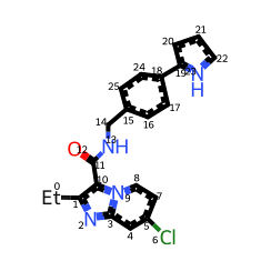 CCc1nc2cc(Cl)ccn2c1C(=O)NCc1ccc(-c2ccc[nH]2)cc1